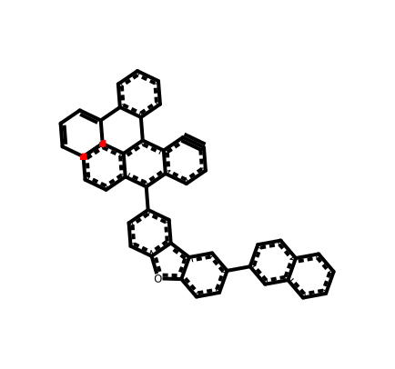 c1ccc2c(-c3ccc4oc5ccc(-c6ccc7ccccc7c6)cc5c4c3)c3ccccc3c(-c3ccccc3C3=CC=CCC3)c2c#1